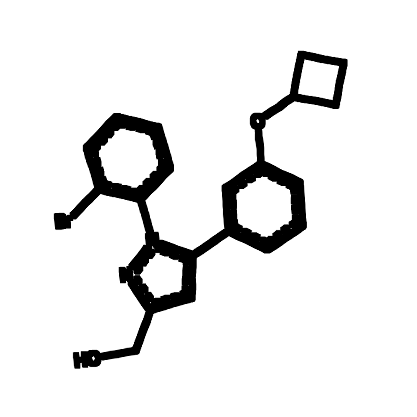 OCc1cc(-c2cccc(OC3CCC3)c2)n(-c2ccccc2Br)n1